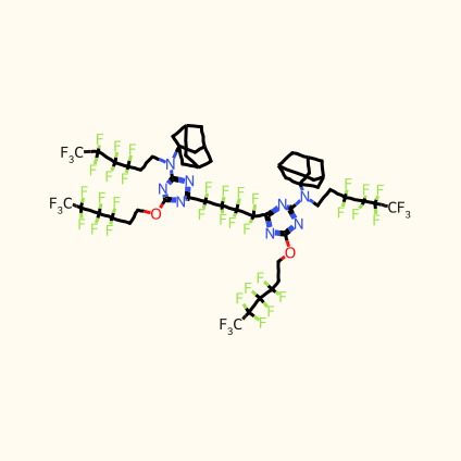 FC(F)(F)C(F)(F)C(F)(F)C(F)(F)CCOc1nc(N(CCC(F)(F)C(F)(F)C(F)(F)C(F)(F)F)C23CC4CC(CC(C4)C2)C3)nc(C(F)(F)C(F)(F)C(F)(F)C(F)(F)c2nc(OCCC(F)(F)C(F)(F)C(F)(F)C(F)(F)F)nc(N(CCC(F)(F)C(F)(F)C(F)(F)C(F)(F)F)C34CC5CC(CC(C5)C3)C4)n2)n1